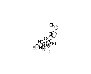 CCOc1nc(N)nc2c1ncn2[C@@H]1O[C@H](CO[P@@]2(=O)OCC[C@@H](c3cccc(Cl)c3)O2)[C@@H](OC(=O)CC)[C@@]1(C)OC(=O)CC